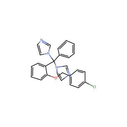 Clc1ccc(COc2ccccc2C(c2ccccc2)(n2ccnc2)n2ccnc2)cc1